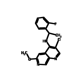 COc1cc2c(NC(C)c3ccccc3F)c(Cl)cnc2cn1